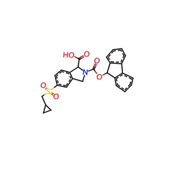 O=C(O)C1c2ccc(S(=O)(=O)CC3CC3)cc2CN1C(=O)OC1c2ccccc2-c2ccccc21